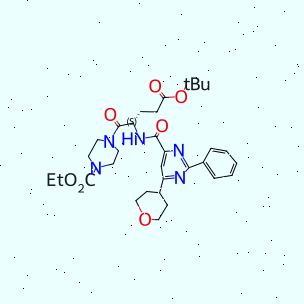 CCOC(=O)N1CCN(C(=O)[C@H](CCC(=O)OC(C)(C)C)NC(=O)c2cc(C3CCOCC3)nc(-c3ccccc3)n2)CC1